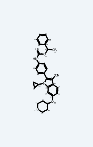 N#Cc1c(-c2ccc(NC(=O)OC(c3ccccc3)C(F)(F)F)cc2)n(C2CC2)c2cc(OC3CCOCC3)ccc12